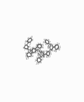 c1ccc(-c2cccc(-n3c4ccccc4c4cc5c(cc43)c3ccccc3n5-c3nc(-c4ccccc4)nc(-c4cccc(-c5cc(-c6ccccc6)nc(-c6ccccc6)n5)c4)n3)c2)cc1